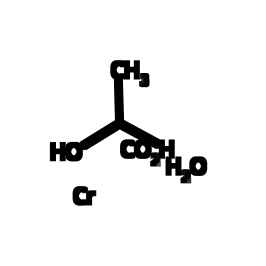 CC(O)C(=O)O.O.[Cr]